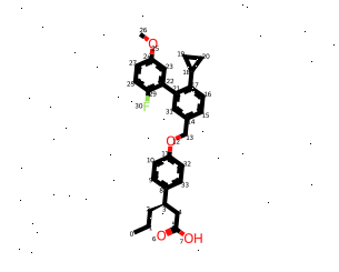 CCC[C@H](CC(=O)O)c1ccc(OCc2ccc(C3CC3)c(-c3cc(OC)ccc3F)c2)cc1